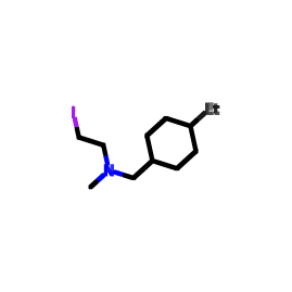 CCC1CCC(CN(C)CCI)CC1